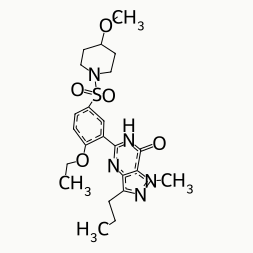 CCCc1nn(C)c2c(=O)[nH]c(-c3cc(S(=O)(=O)N4CCC(OC)CC4)ccc3OCC)nc12